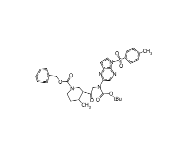 Cc1ccc(S(=O)(=O)n2ccc3nc(N(CC(=O)C4CN(C(=O)OCc5ccccc5)CCC4C)C(=O)OC(C)(C)C)cnc32)cc1